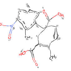 CC1=C(C(=O)O)CC(C(=O)O)(c2cccc([N+](=O)[O-])c2C)C=C1